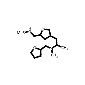 CSNCC1CC(CC(C)N(C)CC2CCCO2)CO1